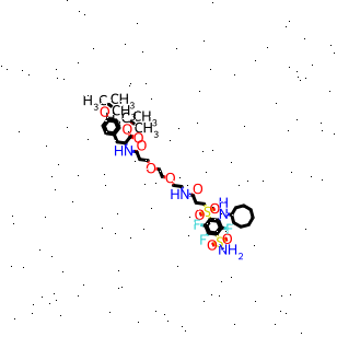 CC(C)(C)OC(=O)C(Cc1ccc(OC(C)(C)C)cc1)NC(=O)CCOCCOCCNC(=O)CCS(=O)(=O)c1c(F)c(F)c(S(N)(=O)=O)c(F)c1NC1CCCCCCC1